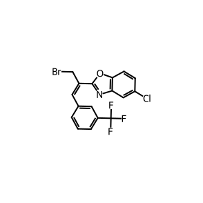 FC(F)(F)c1cccc(/C=C(/CBr)c2nc3cc(Cl)ccc3o2)c1